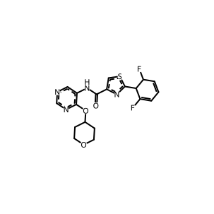 O=C(Nc1cncnc1OC1CCOCC1)c1csc(C2C(F)=CC=CC2F)n1